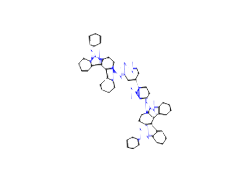 c1ccc(-n2c3ccccc3c3c4c5ccccc5n(-c5ccc(-c6ccnc(-n7c8ccccc8c8c9c%10ccccc%10n(-c%10ccccc%10)c9ccc87)c6)nc5)c4ccc32)cc1